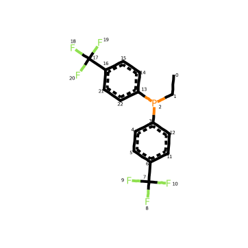 CCP(c1ccc(C(F)(F)F)cc1)c1ccc(C(F)(F)F)cc1